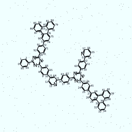 c1ccc(-c2nc(-c3ccc(-c4ccnc(-c5ccc(-c6nc(-c7ccc(-c8ccc9c%10ccccc%10c%10ccccc%10c9c8)cc7)nc(-c7ccc(-c8ccccn8)cc7)n6)cc5)c4)cc3)nc(-c3ccc(-c4ccc5c6ccccc6c6ccccc6c5c4)cc3)n2)cc1